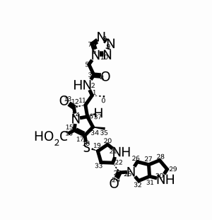 C[C@@H](NC(=O)Cn1cnnn1)[C@H]1C(=O)N2C(C(=O)O)=C(S[C@@H]3CN[C@H](C(=O)N4CC5CCNC5C4)C3)[C@H](C)[C@H]12